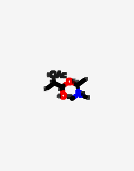 CC(=O)OC(C)C(=O)OC(C)N(C)C